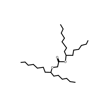 CCCCCCCC(CCCCCC)OCC(=O)OC(CCCCCC)CCCCCCC